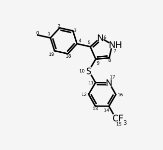 Cc1ccc(-c2n[nH]cc2Sc2ccc(C(F)(F)F)cn2)cc1